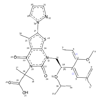 C=C(C)/C=C(\C(=C/C)OC)[C@H](Cn1c(=O)n(C(C)(C)C(=O)O)c(=O)c2c(C)c(-n3cccn3)sc21)OC(C)C